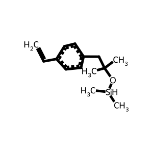 C=Cc1ccc(CC(C)(C)O[SiH](C)C)cc1